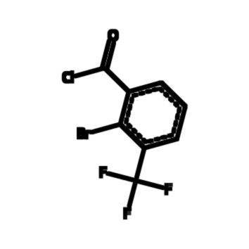 O=C(Cl)c1cccc(C(F)(F)F)c1Br